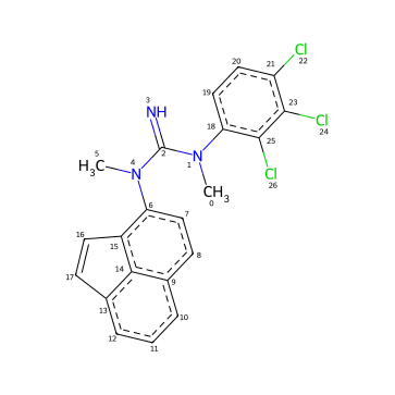 CN(C(=N)N(C)c1ccc2cccc3c2c1C=C3)c1ccc(Cl)c(Cl)c1Cl